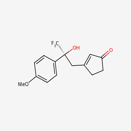 COc1ccc([C@@](O)(CC2=CC(=O)CC2)C(F)(F)F)cc1